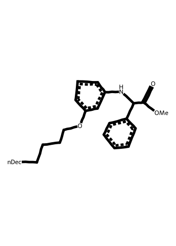 CCCCCCCCCCCCCCOc1cccc(NC(C(=O)OC)c2ccccc2)c1